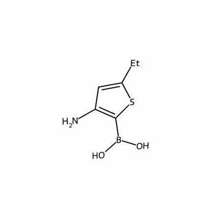 CCc1cc(N)c(B(O)O)s1